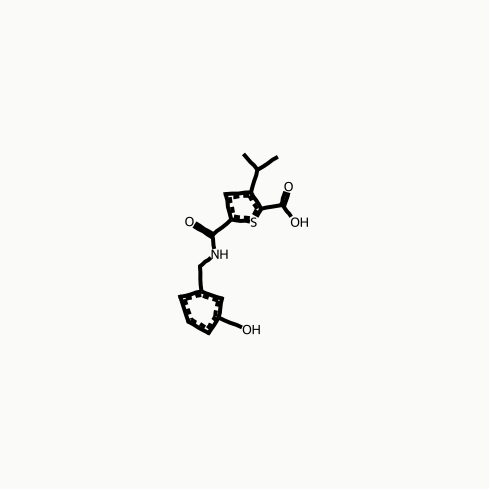 CC(C)c1cc(C(=O)NCc2cccc(O)c2)sc1C(=O)O